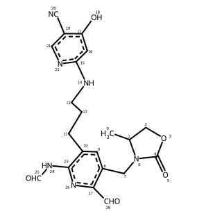 CC1COC(=O)N1Cc1cc(CCCNc2cc(O)c(C#N)cn2)c(NC=O)nc1C=O